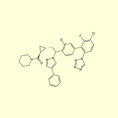 O=C([C@H]1C[C@@H]1CC(c1ccc(-c2c(-n3cnnn3)ccc(Cl)c2F)c[n+]1[O-])n1cc(-c2ccccc2)cn1)N1CCCCC1